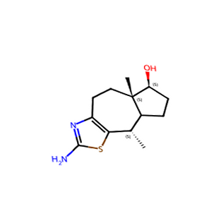 C[C@@H]1c2sc(N)nc2CC[C@@]2(C)C1CC[C@@H]2O